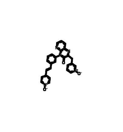 O=c1c(Cc2ccc[n+]([O-])c2)nc2cccnc2n1-c1cccc(C=Cc2cc[n+]([O-])cc2)c1